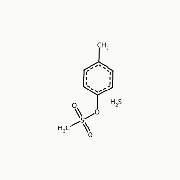 Cc1ccc(OS(C)(=O)=O)cc1.S